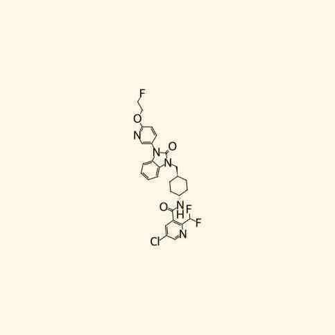 O=C(N[C@H]1CC[C@H](Cn2c(=O)n(-c3ccc(OCCF)nc3)c3ccccc32)CC1)c1cc(Cl)cnc1C(F)F